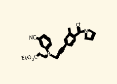 CCOC(=O)CCN(CC#Cc1ccc(C(=O)N2CC=CC2)c(C)c1)c1cccc(C#N)c1